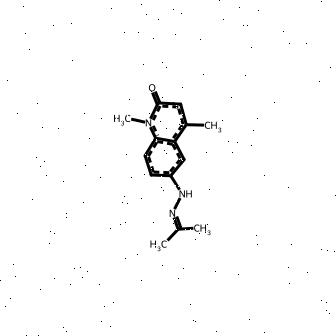 CC(C)=NNc1ccc2c(c1)c(C)cc(=O)n2C